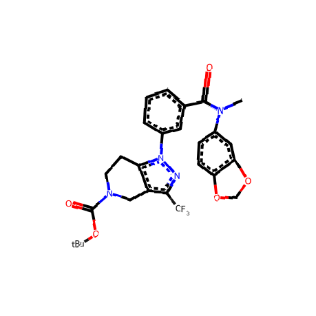 CN(C(=O)c1cccc(-n2nc(C(F)(F)F)c3c2CCN(C(=O)OC(C)(C)C)C3)c1)c1ccc2c(c1)OCO2